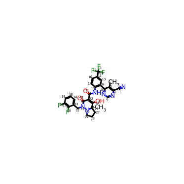 Cc1c(C#N)ncnc1-c1cc(C(F)(F)F)ccc1NC(=O)C1=C(O)[C@@]2(C)CCCN2N(Cc2cccc(F)c2F)C1=O